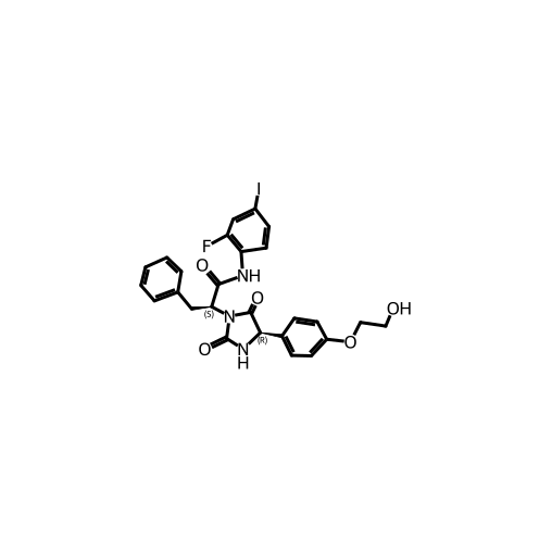 O=C(Nc1ccc(I)cc1F)[C@H](Cc1ccccc1)N1C(=O)N[C@H](c2ccc(OCCO)cc2)C1=O